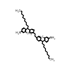 CCCCCCCCCCC(c1ccc(CCc2ccc(C(CCCCCCCCCC)c3ccc(N)cc3C)cc2)cc1)c1ccc(N)cc1C